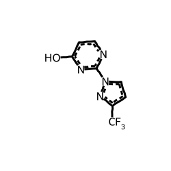 Oc1ccnc(-n2ccc(C(F)(F)F)n2)n1